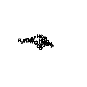 C#C[C@@H]1CN(C(=O)[C@@H](NC(=O)c2ccc(-c3nc(N4CCN(C)CC4)sc3F)cc2)C2CCCC2)[C@H]2[C@@H]1OCC2(OC)OC